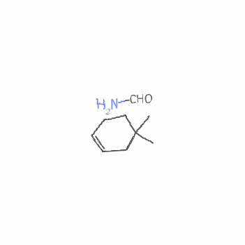 CC1(C)CC=CCC1.NC=O